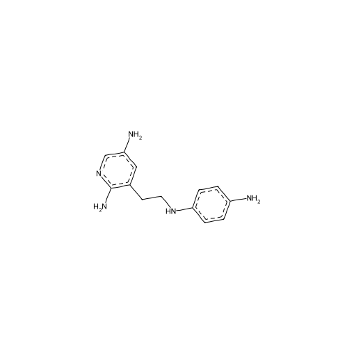 Nc1ccc(NCCc2cc(N)cnc2N)cc1